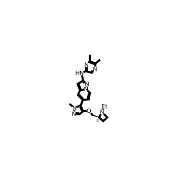 CCN1CC[C@H]1COc1cnn(C)c1-c1ccn2nc(Nc3cnc(C)c(C)n3)cc2c1